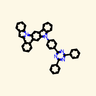 c1ccc(-c2nc(-c3ccccc3)nc(-c3ccc(-n4c5ccccc5c5cc6c(cc54)c4ccccc4c4cc5ccccc5n46)cc3)n2)cc1